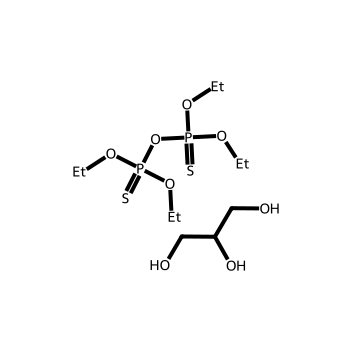 CCOP(=S)(OCC)OP(=S)(OCC)OCC.OCC(O)CO